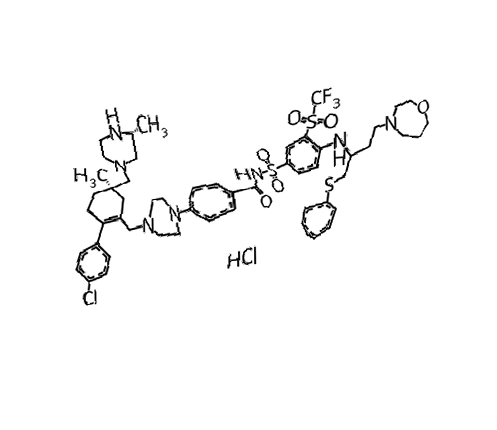 C[C@@H]1CN(C[C@]2(C)CCC(c3ccc(Cl)cc3)=C(CN3CCN(c4ccc(C(=O)NS(=O)(=O)c5ccc(NC(CCN6CCCOCC6)CSc6ccccc6)c(S(=O)(=O)C(F)(F)F)c5)cc4)CC3)C2)CCN1.Cl